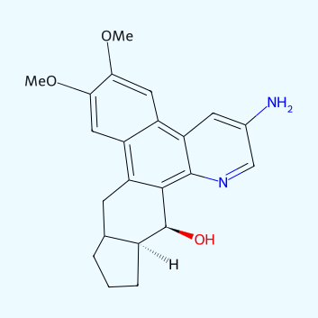 COc1cc2c3c(c4ncc(N)cc4c2cc1OC)[C@@H](O)[C@H]1CCCC1C3